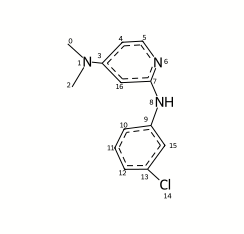 CN(C)c1ccnc(Nc2cccc(Cl)c2)c1